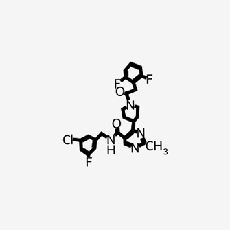 Cc1ncc(C(=O)NCc2cc(F)cc(Cl)c2)c(C2CCN(C(=O)Cc3c(F)cccc3F)CC2)n1